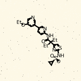 CCOc1cncc(-c2ccc(NC(=O)C(CC)(CC)c3csc(NS(=O)(=O)C4CC4)n3)nc2)c1